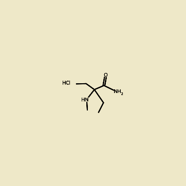 CCC(CC)(NC)C(N)=O.Cl